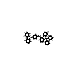 c1ccc(C2(c3ccccc3)c3ccccc3-c3c(Nc4ccc(-n5c6ccccc6c6ccccc65)cc4)cccc32)cc1